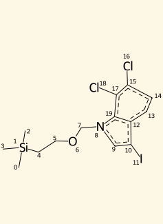 C[Si](C)(C)CCOCn1cc(I)c2ccc(Cl)c(Cl)c21